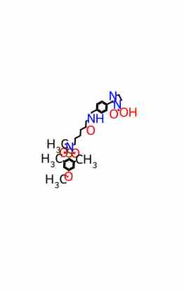 COc1cc(C)c(S(=O)(=O)N(C)CCCCC(=O)CNCc2ccc(C3=NCCN3C(=O)O)cc2)c(C)c1